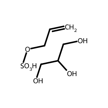 C=CCOS(=O)(=O)O.OCC(O)CO